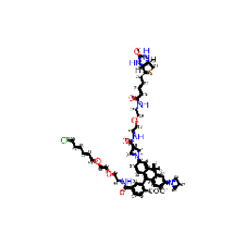 CC1(C)C2=CC(=[N+]3CC(C(=O)NCCOCCNC(=O)CCCC[C@@H]4SC[C@@H]5NC(=O)N[C@@H]54)C3)C=CC2=C(c2cc(C(=O)NCCOCCOCCCCCCCl)ccc2C(=O)[O-])c2ccc(N3CCC3)cc21